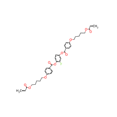 C=CC(=O)OCCCCCOc1ccc(C(=O)Oc2ccc(OC(=O)c3ccc(OCCCCCOC(=O)C=C)cc3)c(F)c2)cc1